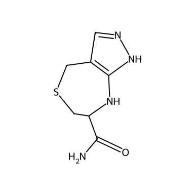 NC(=O)C1CSCc2cn[nH]c2N1